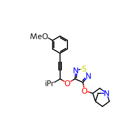 COc1cccc(C#CC(Oc2nsnc2OC2CN3CCC2C3)C(C)C)c1